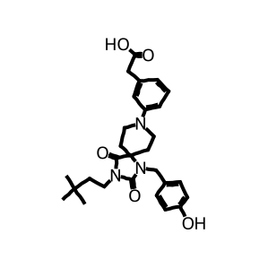 CC(C)(C)CCN1C(=O)N(Cc2ccc(O)cc2)C2(CCN(c3cccc(CC(=O)O)c3)CC2)C1=O